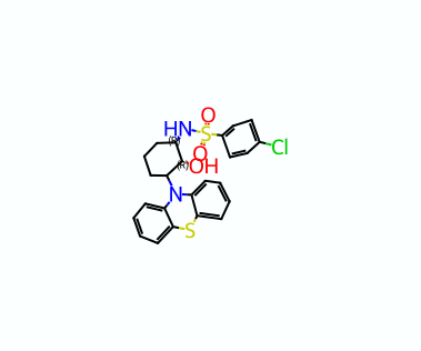 O=S(=O)(N[C@@H]1CCCC(N2c3ccccc3Sc3ccccc32)[C@H]1O)c1ccc(Cl)cc1